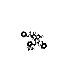 CN(C(=O)NCc1ccccc1)N1CC(=O)N2[C@@H](Cc3ccccc3)C(=O)N(Cc3cccc4nc[nH]c34)C[C@@H]21